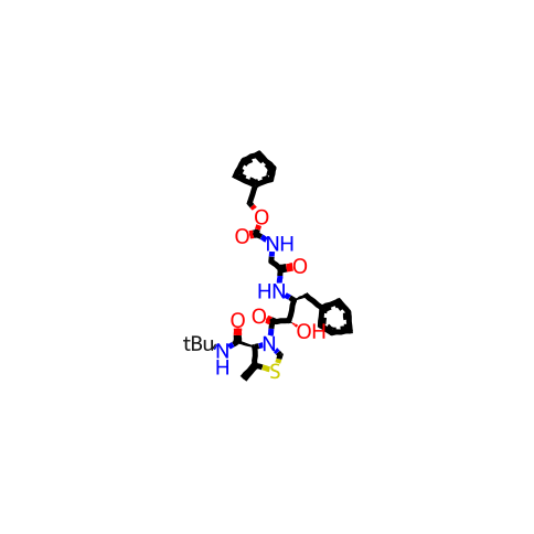 C=C1SCN(C(=O)[C@@H](O)[C@H](Cc2ccccc2)NC(=O)CNC(=O)OCc2ccccc2)[C@@H]1C(=O)NC(C)(C)C